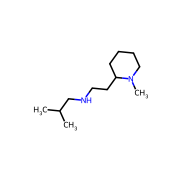 CC(C)CNCCC1CCCCN1C